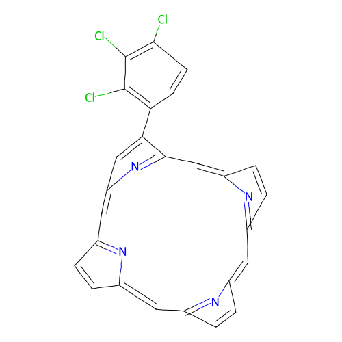 Clc1ccc(C2=CC3=CC4=NC(=CC5=NC(=CC6=NC(=CC2=N3)C=C6)C=C5)C=C4)c(Cl)c1Cl